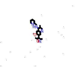 COc1cc2c(NCc3ccccn3)c(C)cnc2cc1-c1c(C)noc1C